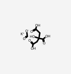 O=C(O)CC(O)(CC(=O)O)C(=O)O.O=C[O-].[K+]